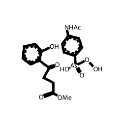 CC(=O)Nc1ccc([As](=O)(O)OO)cc1.COC(=O)CCC(=O)c1ccccc1O